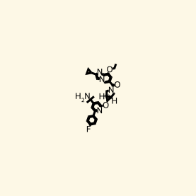 CCOc1cc(C(=O)N2C[C@@H]3C(Oc4cc(C(C)(C)N)cc(-c5ccc(F)cc5)n4)[C@@H]3C2)cn2cc(C3CC3)nc12